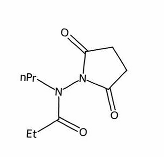 CCCN(C(=O)CC)N1C(=O)CCC1=O